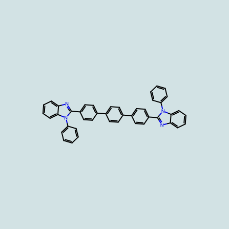 c1ccc(-n2c(-c3ccc(-c4ccc(-c5ccc(-c6nc7ccccc7n6-c6ccccc6)cc5)cc4)cc3)nc3ccccc32)cc1